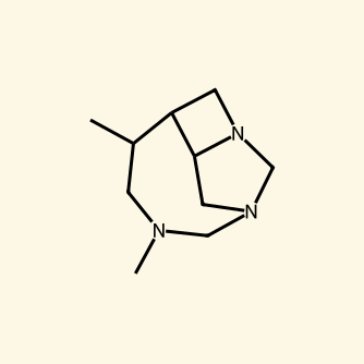 CC1CN(C)CN2CC3C1CN3C2